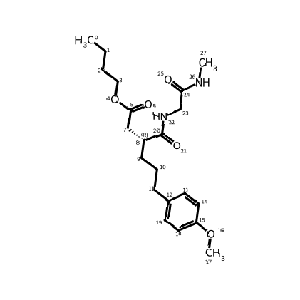 CCCCOC(=O)C[C@@H](CCCc1ccc(OC)cc1)C(=O)NCC(=O)NC